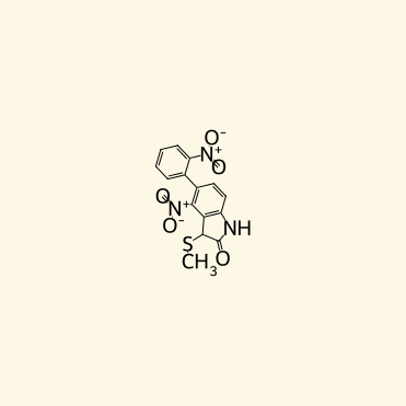 CSC1C(=O)Nc2ccc(-c3ccccc3[N+](=O)[O-])c([N+](=O)[O-])c21